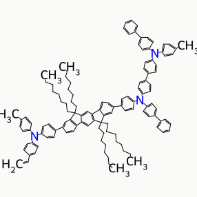 C=Cc1ccc(N(c2ccc(C)cc2)c2ccc(-c3ccc4c(c3)C(CCCCCCCC)(CCCCCCCC)c3cc5c(cc3-4)C(CCCCCCCC)(CCCCCCCC)c3cc(-c4ccc(N(c6ccc(-c7ccccc7)cc6)c6ccc(-c7ccc(N(c8ccc(C)cc8)c8ccc(-c9ccccc9)cc8)cc7)cc6)cc4)ccc3-5)cc2)cc1